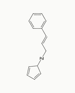 C1=C[CH]([Pd][CH2]C=Cc2ccccc2)C=C1